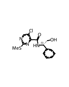 CSc1ncc(Cl)c(C(=O)N[C@H](CO)c2ccccc2)n1